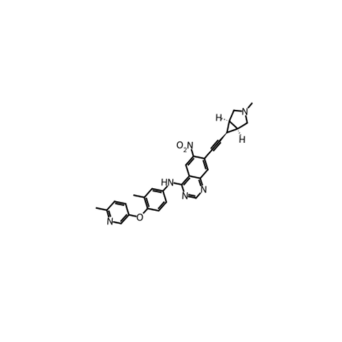 Cc1ccc(Oc2ccc(Nc3ncnc4cc(C#C[C@H]5[C@H]6CN(C)C[C@@H]56)c([N+](=O)[O-])cc34)cc2C)cn1